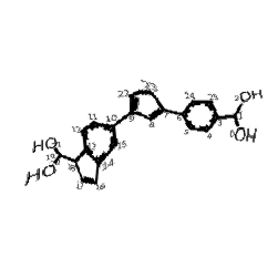 OC(O)c1ccc(C2=CC(c3ccc4c(c3)C=CC4C(O)O)=CC2)cc1